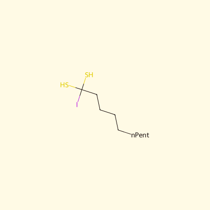 CCCCCCCCCC(S)(S)I